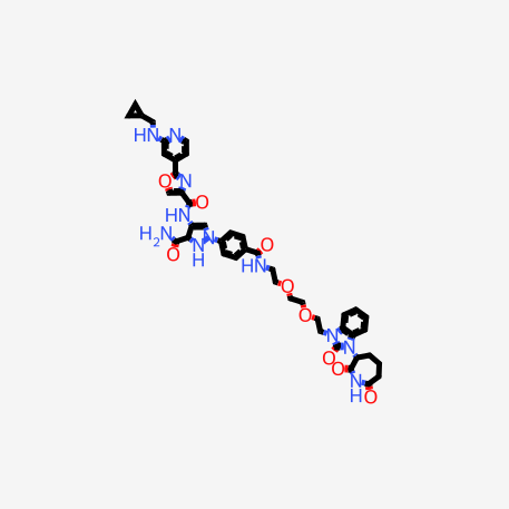 NC(=O)C1NN(c2ccc(C(=O)NCCOCCOCCn3c(=O)n(C4CCCC(=O)NC4=O)c4ccccc43)cc2)C=C1NC(=O)c1coc(-c2ccnc(NCC3CC3)c2)n1